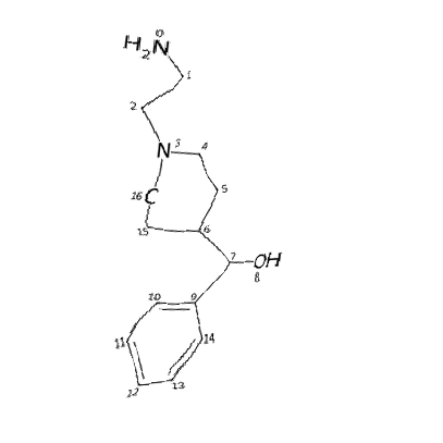 NCCN1CCC(C(O)c2ccccc2)CC1